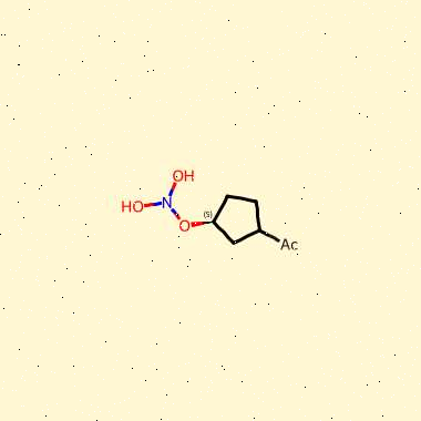 CC(=O)C1CC[C@H](ON(O)O)C1